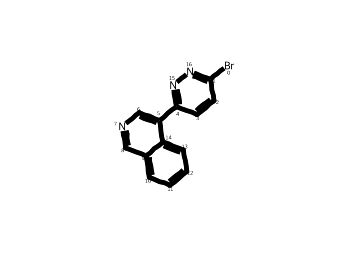 Brc1ccc(-c2cncc3ccccc23)nn1